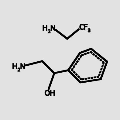 NCC(F)(F)F.NCC(O)c1ccccc1